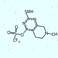 CSc1nc2c(c(OS(=O)(=O)C(F)(F)F)n1)CCN(C)C2